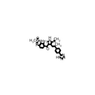 C=Nc1[nH]nc(C(=O)c2ccc(F)c(NS(C)(=O)=O)c2F)c1/C=C(\C)c1ccc(-c2nnn[nH]2)cc1